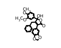 COc1ccc(C2(O)OC(=O)C(c3ccc4c(c3)OCO4)=C2Cc2ccccc2)cc1OC